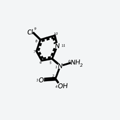 NN(C(=O)O)c1ccc(Cl)cn1